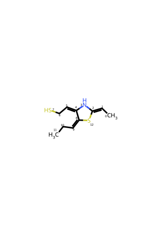 C/C=C1/NC(=C/CS)/C(=C\CC)S1